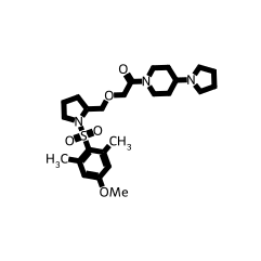 COc1cc(C)c(S(=O)(=O)N2CCCC2COCC(=O)N2CCC(N3CCCC3)CC2)c(C)c1